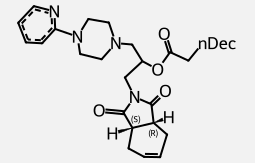 CCCCCCCCCCCC(=O)OC(CN1CCN(c2ccccn2)CC1)CN1C(=O)[C@H]2CC=CC[C@H]2C1=O